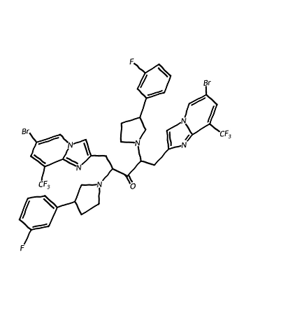 O=C(C(Cc1cn2cc(Br)cc(C(F)(F)F)c2n1)N1CCC(c2cccc(F)c2)C1)C(Cc1cn2cc(Br)cc(C(F)(F)F)c2n1)N1CCC(c2cccc(F)c2)C1